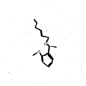 CCCCCCO[C@@H](C)c1ccccc1OC